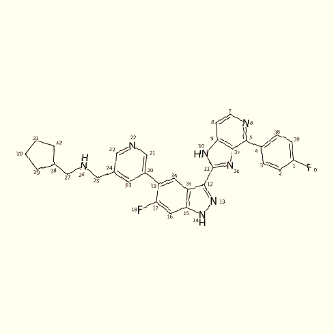 Fc1ccc(-c2nccc3[nH]c(-c4n[nH]c5cc(F)c(-c6cncc(CNCC7CCCC7)c6)cc45)nc23)cc1